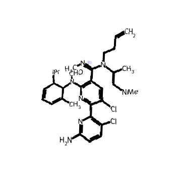 C=CCCN(/C(=N/C)c1cc(Cl)c(-c2nc(N)ccc2Cl)nc1N(C=O)C1C(C)=CC=CC1C(C)C)C(C)CNC